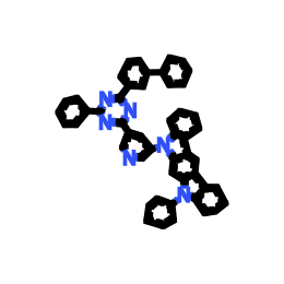 c1ccc(-c2cccc(-c3nc(-c4ccccc4)nc(-c4cncc(-n5c6ccccc6c6cc7c8ccccc8n(-c8ccccc8)c7cc65)c4)n3)c2)cc1